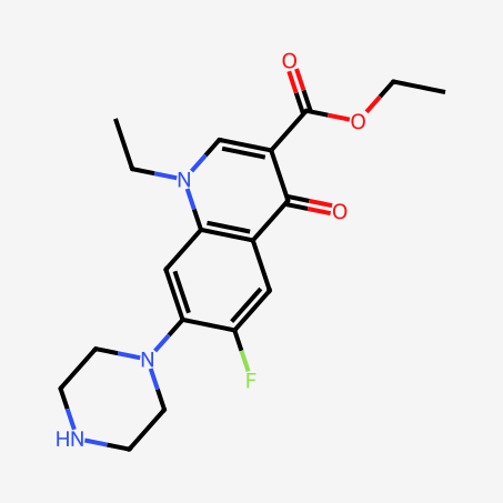 CCOC(=O)c1cn(CC)c2cc(N3CCNCC3)c(F)cc2c1=O